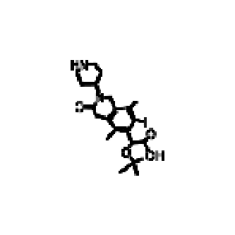 Cc1c(I)c([C@H](OC(C)(C)C)C(=O)O)c(C)c2c1CN(C1CCNCC1)C(=O)C2